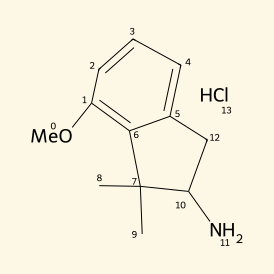 COc1cccc2c1C(C)(C)C(N)C2.Cl